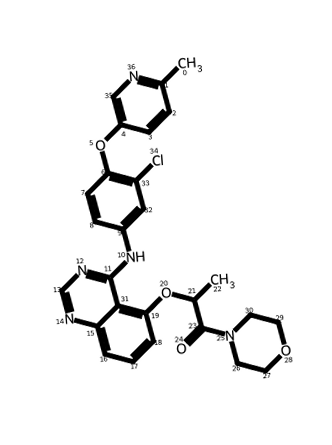 Cc1ccc(Oc2ccc(Nc3ncnc4cccc(OC(C)C(=O)N5CCOCC5)c34)cc2Cl)cn1